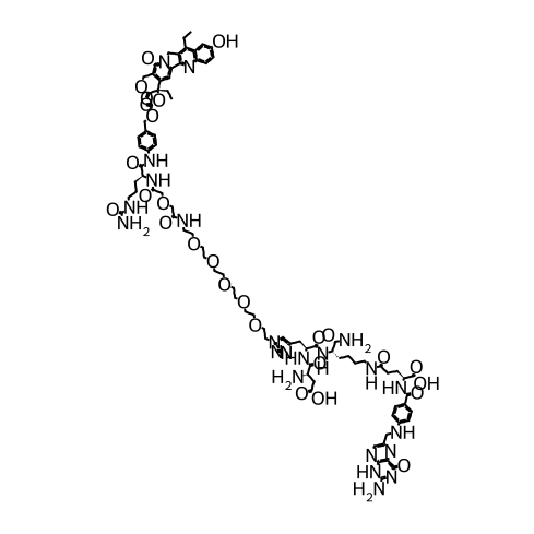 CCc1c2c(nc3ccc(O)cc13)-c1cc3c(c(=O)n1C2)COC(=O)[C@@]3(CC)OC(=O)OCc1ccc(NC(=O)[C@H](CCCNC(N)=O)NC(=O)COCC(=O)NCCOCCOCCOCCOCCOCCn2cc(C[C@H](NC(=O)[C@@H](N)CC(=O)O)C(=O)N[C@@H](CCCCNC(=O)CC[C@H](NC(=O)c3ccc(NCc4cnc5[nH]c(N)nc(=O)c5n4)cc3)C(=O)O)C(N)=O)nn2)cc1